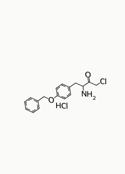 Cl.NC(Cc1ccc(OCc2ccccc2)cc1)C(=O)CCl